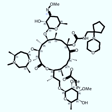 CO/N=C1\C[C@@H](C)O[C@@H](O[C@@H]2[C@@H](C)[C@H](O[C@H]3C[C@H](C)N(C)C[C@H](C)O3)[C@@H](C)C(=O)O[C@H]([C@@H](C)CO[C@@H]3O[C@H](C)[C@@H](O)[C@@H](OC)[C@H]3OC)[C@H](C)[C@@H](OC(=O)CC(C)C)[C@@H](C)C(=O)[C@@](C)(OC(=O)NCC3(N4CCOCC4)CCCC3)C[C@@H]2C)[C@@H]1O